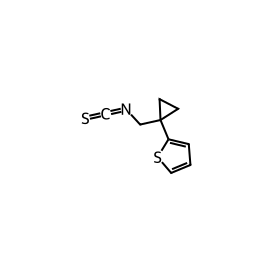 S=C=NCC1(c2cccs2)CC1